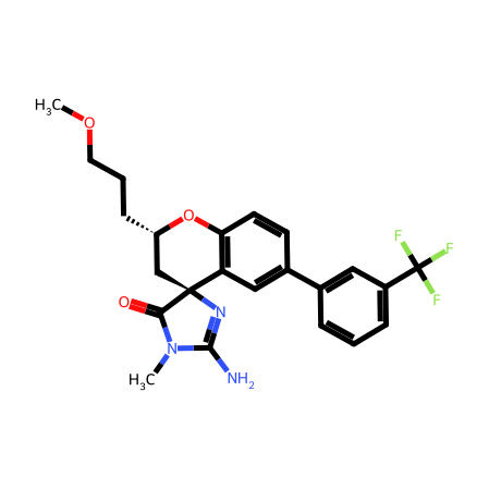 COCCC[C@H]1C[C@]2(N=C(N)N(C)C2=O)c2cc(-c3cccc(C(F)(F)F)c3)ccc2O1